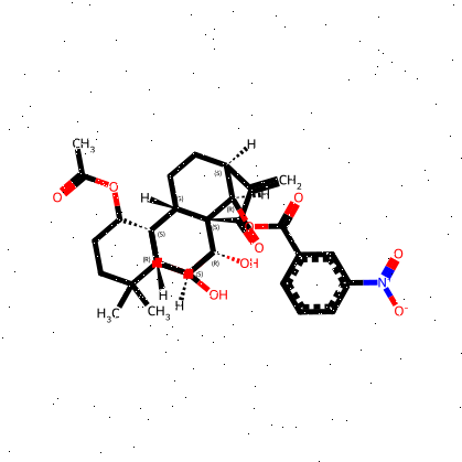 C=C1C(=O)[C@]23[C@H](OC(=O)c4cccc([N+](=O)[O-])c4)[C@H]1CC[C@H]2[C@@]12CO[C@@]3(O)[C@@H](O)[C@@H]1C(C)(C)CCC2OC(C)=O